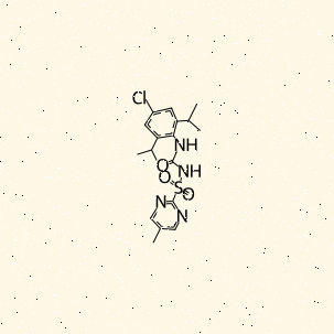 Cc1cnc(S(=O)(=O)NC(=O)Nc2c(C(C)C)cc(Cl)cc2C(C)C)nc1